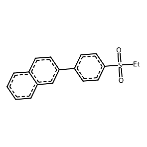 CCS(=O)(=O)c1ccc(-c2ccc3ccccc3c2)cc1